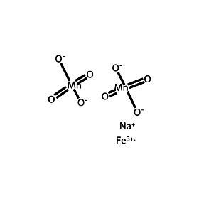 [Fe+3].[Na+].[O]=[Mn](=[O])([O-])[O-].[O]=[Mn](=[O])([O-])[O-]